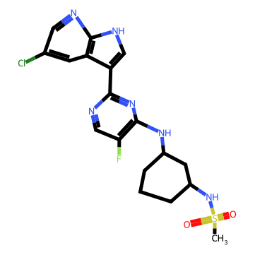 CS(=O)(=O)NC1CCCC(Nc2nc(-c3c[nH]c4ncc(Cl)cc34)ncc2F)C1